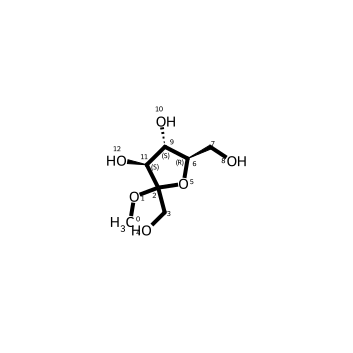 COC1(CO)O[C@H](CO)[C@@H](O)[C@@H]1O